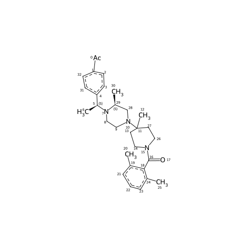 CC(=O)c1ccc([C@H](C)N2CCN(C3(C)CCN(C(=O)c4c(C)cccc4C)CC3)C[C@@H]2C)cc1